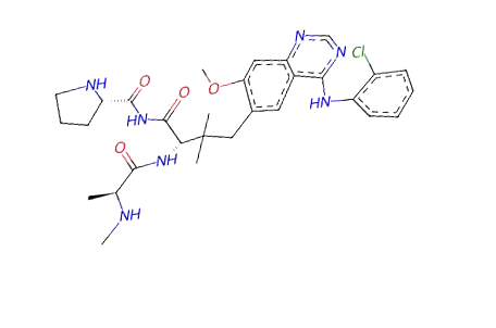 CN[C@@H](C)C(=O)N[C@H](C(=O)NC(=O)[C@@H]1CCCN1)C(C)(C)Cc1cc2c(Nc3ccccc3Cl)ncnc2cc1OC